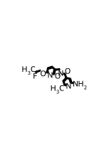 Cc1cc(C(=O)N2Cc3ccc(OCC(C)F)nc3O2)cc(N)n1